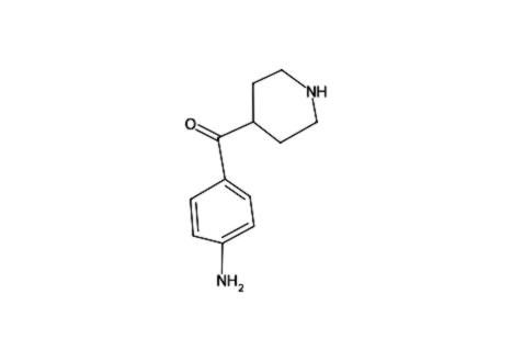 Nc1ccc(C(=O)C2CCNCC2)cc1